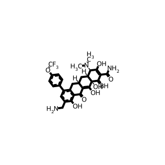 B=C1C(C(N)=O)=C(O)[C@@H](N(C)C)[C@@H]2C[C@@H]3Cc4c(-c5ccc(OC(F)(F)F)cc5)cc(CN)c(O)c4C(=O)C3=C(O)[C@]12O